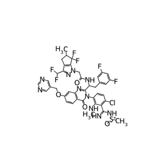 CNc1c(-n2c(C(Cc3cc(F)cc(F)c3)NC(=O)Cn3nc(C(F)F)c4c3C(F)(F)C(C)C4)nc3cc(OCc4cncnc4)ccc3c2=O)ccc(Cl)c1C(=N)N[S+](C)[O-]